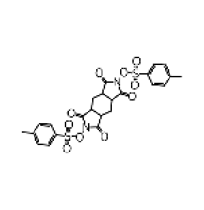 Cc1ccc(S(=O)(=O)ON2C(=O)C3CC4C(=O)N(OS(=O)(=O)c5ccc(C)cc5)C(=O)C4CC3C2=O)cc1